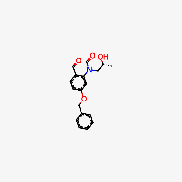 C[C@@H](O)CN(C=O)c1cc(OCc2ccccc2)ccc1C=O